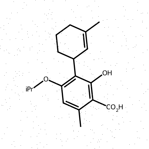 CC1=CC(c2c(OC(C)C)cc(C)c(C(=O)O)c2O)CCC1